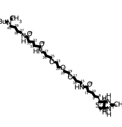 C=C1N[C@H]2[C@H](CS[C@H]2CCCCC(=O)NCCCOCCOCCOCCCNC(=O)CCCC(=O)NCCCCN(C)C(C)(C)C)N1